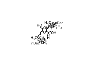 CCCCCCCCCC[Si](C)(C)O[Si](C)(C)CCCC(OC(CCC[Si](C)(C)O[Si](C)(C)CCCCCCCCCC)C(O)CO)C(O)CO